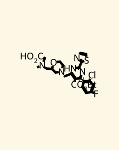 CCOC(=O)C1=C(CN2CCOC(CN(C)CC(=O)O)C2)NC(c2nccs2)=N[C@H]1c1ccc(F)cc1Cl